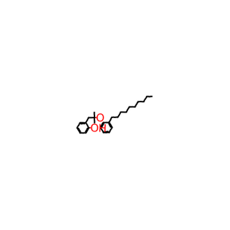 CCCCCCCCCCc1ccccc1OC(C)(C)Cc1ccccc1O